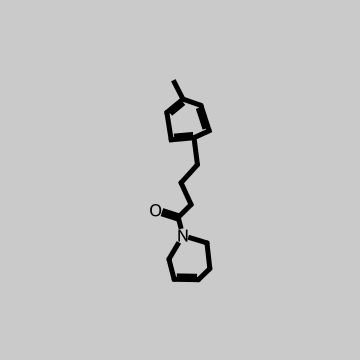 Cc1ccc(CCCC(=O)N2CC=CCC2)cc1